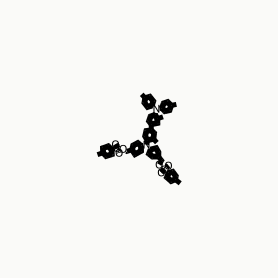 Cc1ccc(N(c2ccc(C)cc2)c2ccc(-c3ccc(N(c4ccc(COS(=O)(=O)c5ccc(C)cc5)cc4)c4ccc(COS(=O)(=O)c5ccc(C)cc5)cc4)c(C)c3)cc2C)cc1